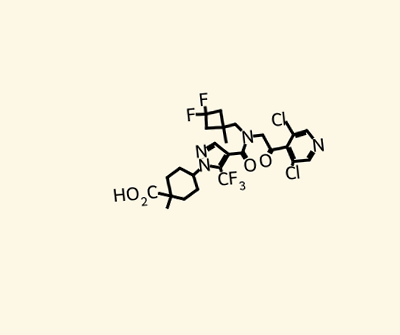 CC1(CN(CC(=O)c2c(Cl)cncc2Cl)C(=O)c2cnn(C3CCC(C)(C(=O)O)CC3)c2C(F)(F)F)CC(F)(F)C1